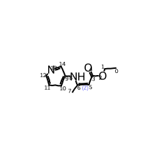 CCOC(=O)/C=C(/C)Nc1cccnc1